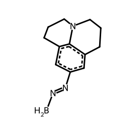 B/N=N/c1cc2c3c(c1)CCCN3CCC2